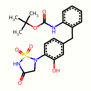 CC(C)(C)OC(=O)Nc1ccccc1Cc1ccc(N2CC(=O)NS2(=O)=O)c(O)c1